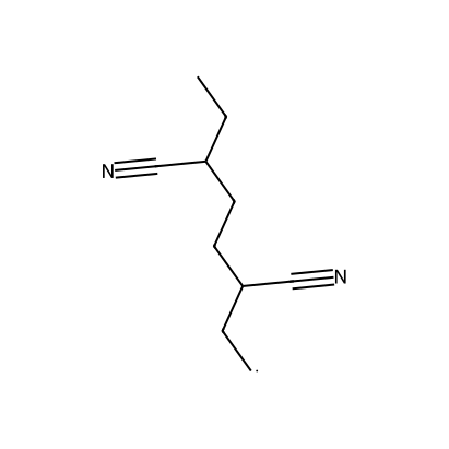 [CH2]CC(C#N)CCC(C#N)CC